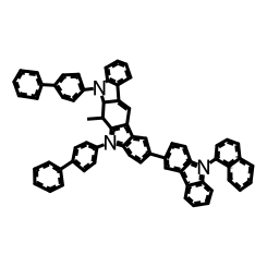 CC1c2c(c3cc(-c4ccc5c(c4)c4ccccc4n5-c4cccc5ccccc45)ccc3n2-c2ccc(-c3ccccc3)cc2)C=C2c3ccccc3N(c3ccc(-c4ccccc4)cc3)C21